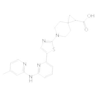 Cc1ccnc(Nc2cccc(-c3cnc(N4CCC5(CC4)CC5C(=O)O)s3)n2)c1